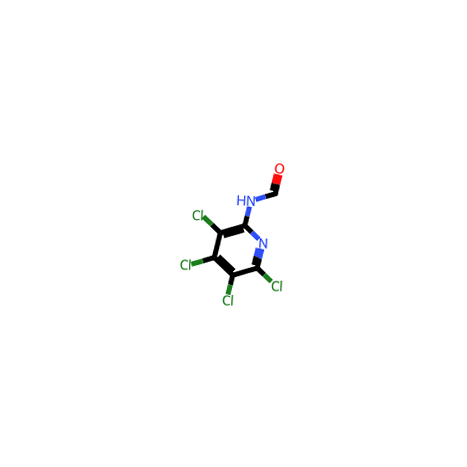 O=CNc1nc(Cl)c(Cl)c(Cl)c1Cl